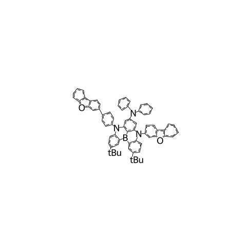 CC(C)(C)c1ccc2c(c1)B1c3cc(C(C)(C)C)ccc3N(c3ccc4c(c3)oc3ccccc34)c3cc(N(c4ccccc4)c4ccccc4)cc(c31)N2c1ccc(-c2ccc3c(c2)oc2ccccc23)cc1